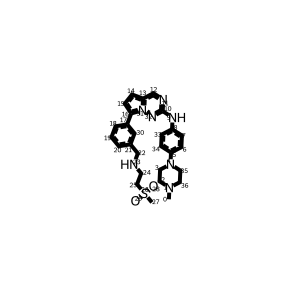 CN1CCN(c2ccc(Nc3ncc4ccc(-c5cccc(CNCCS(C)(=O)=O)c5)n4n3)cc2)CC1